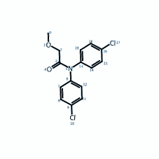 COCC(=O)N(c1ccc(Cl)cc1)c1ccc(Cl)cc1